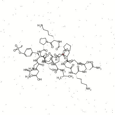 CC(C)C[C@H](NC(=O)[C@@H]1CCCN1C(=O)[C@H](CCCCN)NC(=O)[C@H](CO)NC(=O)[C@H](CCCNC(=N)N)NC(=O)[C@@H]1CCCN1C(=O)[C@H](CCCCN)NC(=O)[C@@H]1CCCN1C(=O)CNC(=O)[C@H](CCC(N)=O)NC(=O)[C@H](Cc1ccc(OS(=O)(=O)F)cc1)NC(=O)[C@@H](N)CC(=O)O)C(=O)N[C@@H](CCCCN)C(=O)N[C@@H](CC(N)=O)C(=O)O